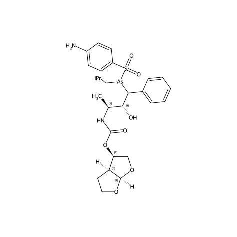 CC(C)C[As](C(c1ccccc1)[C@H](O)[C@H](C)NC(=O)O[C@H]1CO[C@H]2OCC[C@H]21)S(=O)(=O)c1ccc(N)cc1